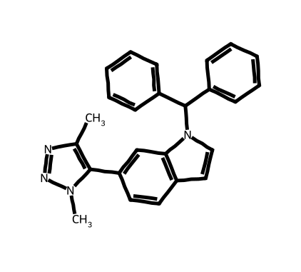 Cc1nnn(C)c1-c1ccc2ccn(C(c3ccccc3)c3ccccc3)c2c1